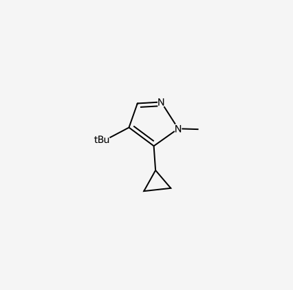 Cn1ncc(C(C)(C)C)c1C1CC1